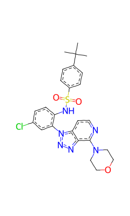 CC(C)(C)c1ccc(S(=O)(=O)Nc2ccc(Cl)cc2-n2nnc3c(N4CCOCC4)nccc32)cc1